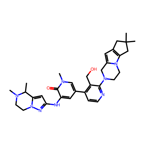 CC1c2cc(Nc3cc(-c4ccnc(N5CCn6c(cc7c6CC(C)(C)C7)C5)c4CO)cn(C)c3=O)nn2CCN1C